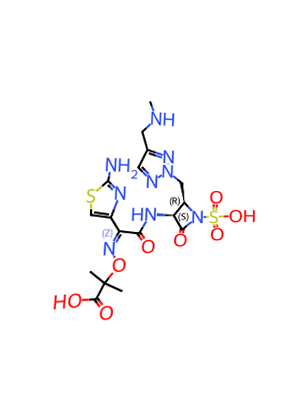 CNCc1cnn(C[C@@H]2[C@H](NC(=O)/C(=N\OC(C)(C)C(=O)O)c3csc(N)n3)C(=O)N2S(=O)(=O)O)n1